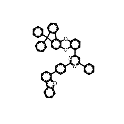 c1ccc(-c2cc(-c3cccc4c3Oc3ccc5c(c3O4)-c3ccccc3C5(c3ccccc3)c3ccccc3)nc(-c3ccc(-c4cccc5c4oc4ccccc45)cc3)n2)cc1